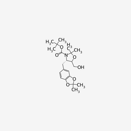 CC(C)(C)OC(=O)N1[C@@H](Cc2ccc3c(c2)OC(C)(C)O3)C(CO)OC1(C)C